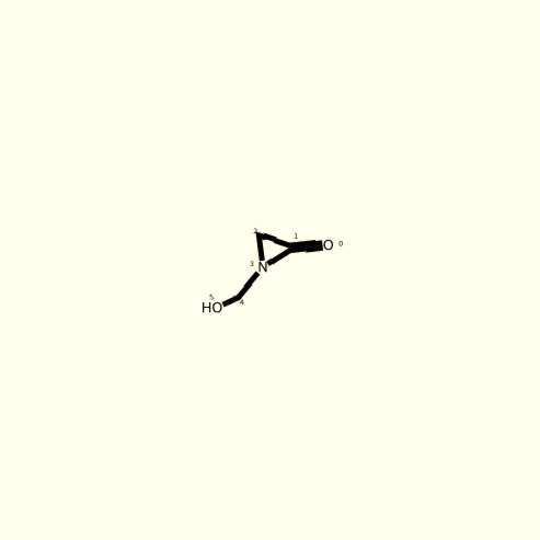 O=C1CN1CO